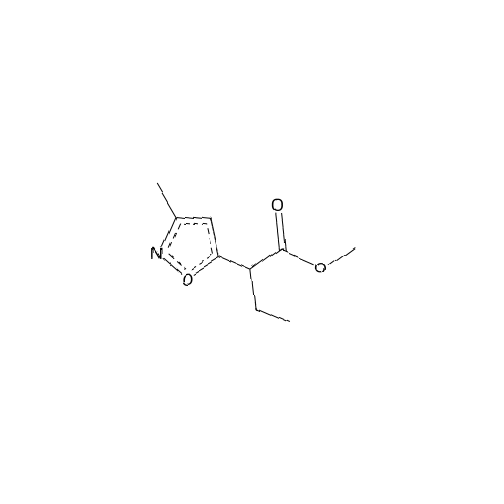 CCC(C(=O)OC)c1cc(C)no1